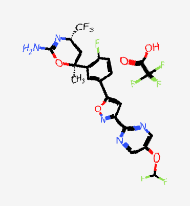 C[C@@]1(c2cc(-c3cc(-c4ncc(OC(F)F)cn4)no3)ccc2F)C[C@@H](C(F)(F)F)N=C(N)O1.O=C(O)C(F)(F)F